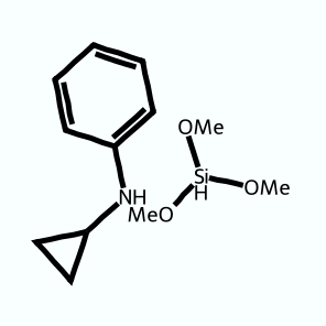 CO[SiH](OC)OC.c1ccc(NC2CC2)cc1